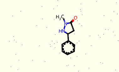 CN1NC(c2ccccc2)CC1=O